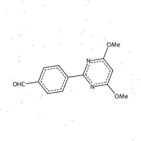 COc1cc(OC)nc(-c2ccc(C=O)cc2)n1